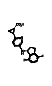 O=C(O)[C@H]1C[C@@H]1c1ccc(N[C@@H]2CCc3c(I)ccc(F)c32)cn1